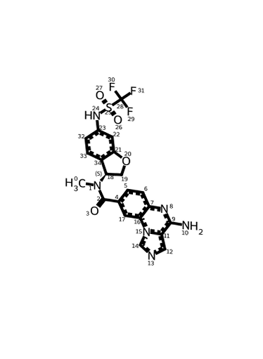 CN(C(=O)c1ccc2nc(N)c3cncn3c2c1)[C@@H]1COc2cc(NS(=O)(=O)C(F)(F)F)ccc21